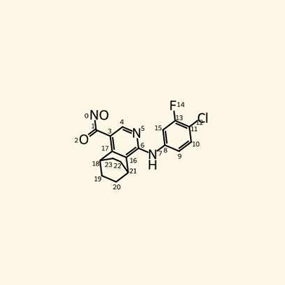 O=NC(=O)c1cnc(Nc2ccc(Cl)c(F)c2)c2c1C1CCC2CC1